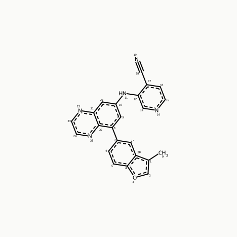 Cc1coc2ccc(-c3cc(Nc4cnccc4C#N)cc4nccnc34)cc12